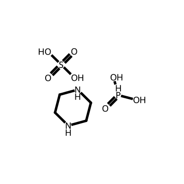 C1CNCCN1.O=S(=O)(O)O.O=[PH](O)O